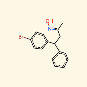 CC(CC(c1ccccc1)c1ccc(Br)cc1)=NO